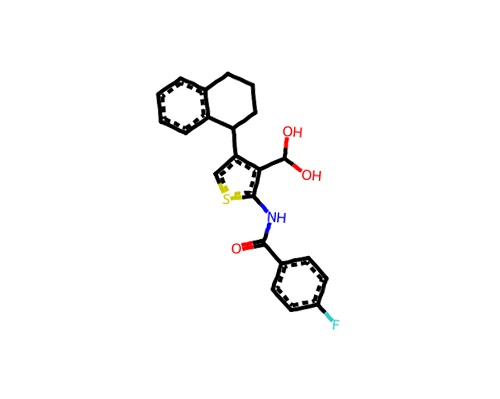 O=C(Nc1scc(C2CCCc3ccccc32)c1C(O)O)c1ccc(F)cc1